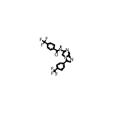 CN(C(=O)c1ccc(C(F)(F)F)cc1)c1cn2c(-c3ccc(C(F)(F)F)cc3)cnc2cn1